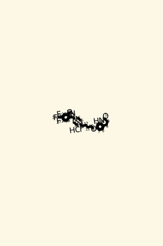 Cl.O=C1CCc2ccc(OCCCCN3CCN(c4noc5cc(C(F)(F)F)ccc45)CC3)cc2N1